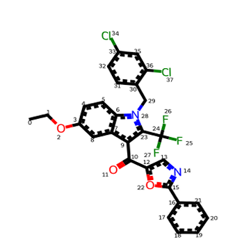 CCOc1ccc2c(c1)c(C(=O)c1cnc(-c3ccccc3)o1)c(C(F)(F)F)n2Cc1ccc(Cl)cc1Cl